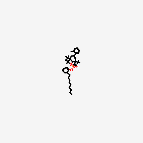 CCCCCCCCCc1ccccc1OP(O)OC1C(C(C)(C)C)(C(C)(C)C)C=C(c2ccccc2C)CC1(C(C)(C)C)C(C)(C)C